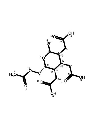 CC(=O)OC[C@@H]1OC(Br)[C@@H](CC(=O)O)[C@@H](CC(=O)O)[C@H]1CC(=O)O